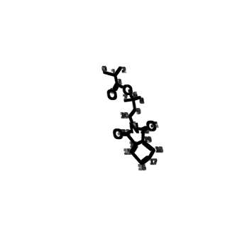 CC(C)C(=O)OC(C)(C)CCN1C(=O)c2ccccc2C1=O